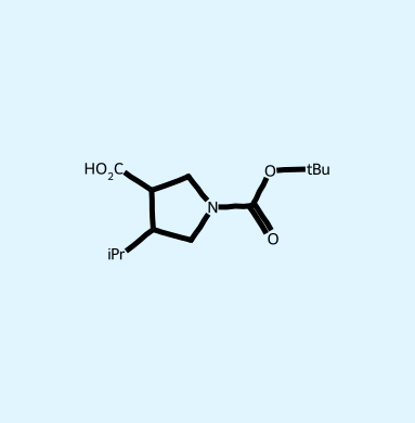 CC(C)C1CN(C(=O)OC(C)(C)C)CC1C(=O)O